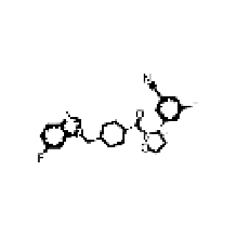 N#Cc1cc(F)cc([C@@H]2CCON2C(=O)[C@H]2CC[C@H](Cn3cnc4ccc(F)cc43)CC2)c1